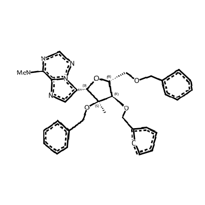 CNc1ncnn2c([C@@H]3O[C@H](COCc4ccccc4)[C@@H](OCc4ccccc4)[C@@]3(C)OCc3ccccc3)cnc12